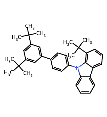 CC(C)(C)c1cc(-c2ccc(-n3c4ccccc4c4cccc(C(C)(C)C)c43)cc2)cc(C(C)(C)C)c1